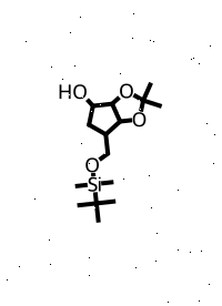 CC1(C)OC2C(O)CC(CO[Si](C)(C)C(C)(C)C)C2O1